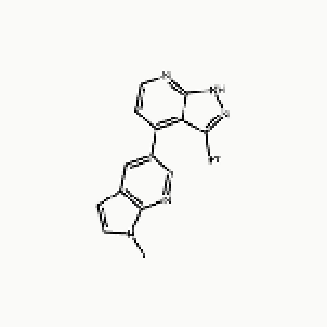 CC(C)c1n[nH]c2nccc(-c3cnc4c(ccn4C)c3)c12